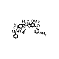 COc1cc(C(=O)N2CCC[C@@H](N)C2)cc2nc(-c3cc4ccc([C@@H](C)NC(=O)c5ccccc5)nc4n3CC3CC3)n(C)c12